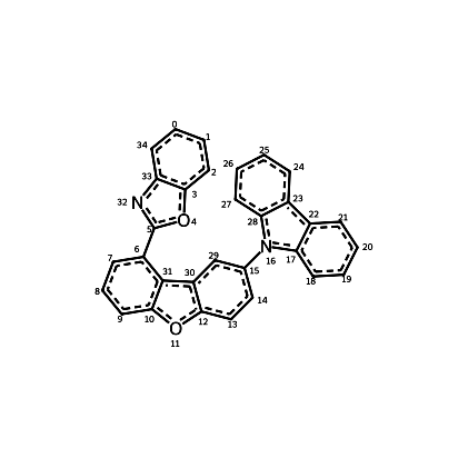 c1ccc2oc(-c3cccc4oc5ccc(-n6c7ccccc7c7ccccc76)cc5c34)nc2c1